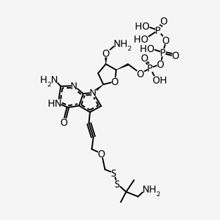 CC(C)(CN)SSCOCC#Cc1cn([C@H]2C[C@@H](ON)[C@@H](COP(=O)(O)OP(=O)(O)OP(=O)(O)O)O2)c2nc(N)[nH]c(=O)c12